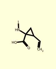 C=CC1CC1(NI)C(=O)O